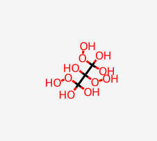 OOC(O)(O)C(O)(OO)C(O)(O)OO